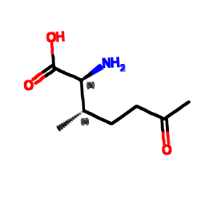 CC(=O)CC[C@H](C)[C@H](N)C(=O)O